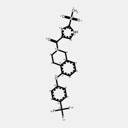 CS(=O)(=O)c1nc(C(=O)N2CCc3c(cccc3Oc3ccc(C(F)(F)F)cc3)C2)c[nH]1